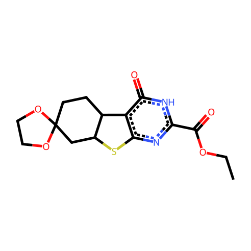 CCOC(=O)c1nc2c(c(=O)[nH]1)C1CCC3(CC1S2)OCCO3